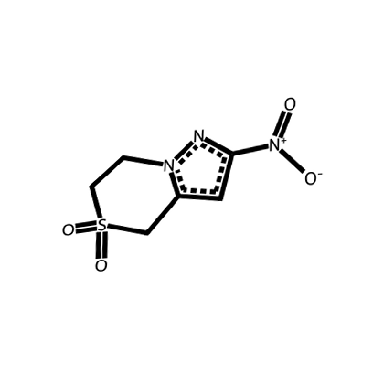 O=[N+]([O-])c1cc2n(n1)CCS(=O)(=O)C2